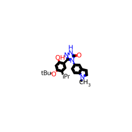 CC(C)c1cc(-c2n[nH]c(=O)n2-c2ccc3c(ccn3C)c2)c(O)cc1OC(C)(C)C